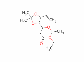 C=CC1OC(C)(C)OC1C(CC=O)OC(C)OCC